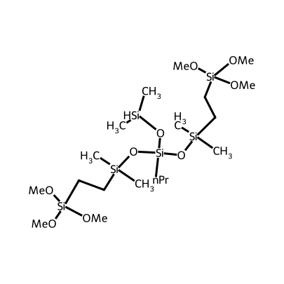 CCC[Si](O[SiH](C)C)(O[Si](C)(C)CC[Si](OC)(OC)OC)O[Si](C)(C)CC[Si](OC)(OC)OC